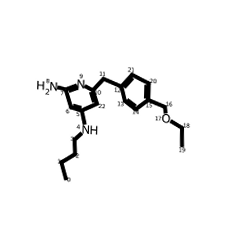 CCCCNc1cc(N)nc(Cc2ccc(COCC)cc2)c1